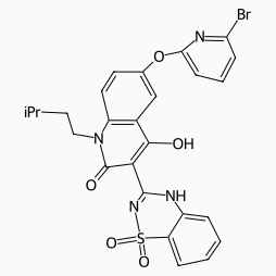 CC(C)CCn1c(=O)c(C2=NS(=O)(=O)c3ccccc3N2)c(O)c2cc(Oc3cccc(Br)n3)ccc21